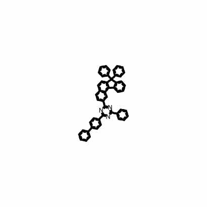 c1ccc(-c2ccc(-c3nc(-c4ccccc4)nc(-c4ccc5ccc6c(c5c4)-c4ccccc4C6(c4ccccc4)c4ccccc4)n3)cc2)cc1